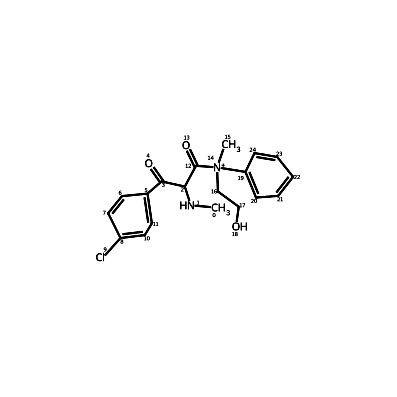 CNC(C(=O)c1ccc(Cl)cc1)C(=O)[N+](C)(CCO)c1ccccc1